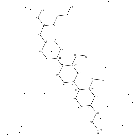 CCCCC(CC)CC1CCC(C2CCC(C3CCC(CCO)CC3CC)CC2CC)CC1